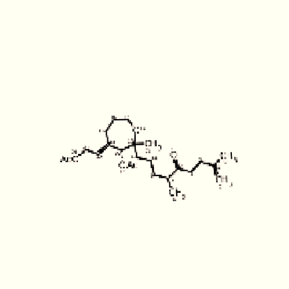 C=C(C)CCC(=O)C(C)CCCC1(C)OCCCC(=CCOC(C)=O)[C@H]1OC(C)=O